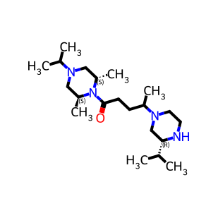 CC(C)[C@@H]1CN(C(C)CCC(=O)N2[C@@H](C)CN(C(C)C)C[C@@H]2C)CCN1